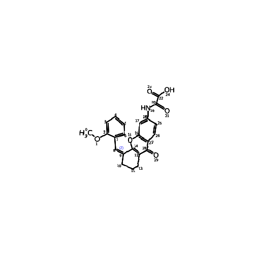 COc1ccccc1/C=C1/CCCc2c1oc1cc(NC(=O)C(=O)O)ccc1c2=O